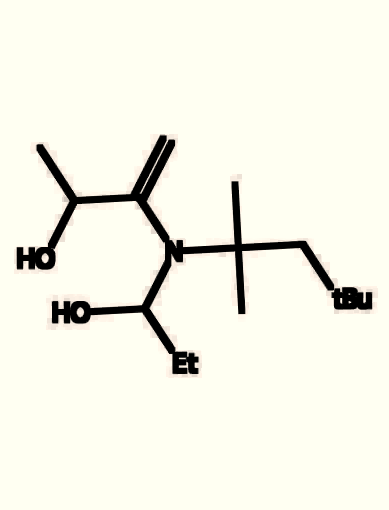 C=C(C(C)O)N(C(O)CC)C(C)(C)CC(C)(C)C